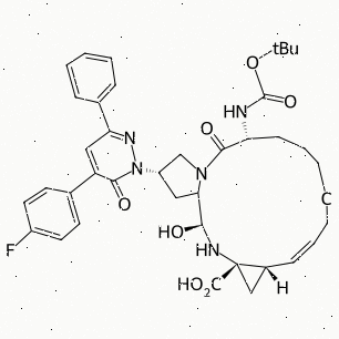 CC(C)(C)OC(=O)N[C@@H]1CCCCC/C=C\[C@@H]2C[C@]2(C(=O)O)N[C@@H](O)C2C[C@H](n3nc(-c4ccccc4)cc(-c4ccc(F)cc4)c3=O)CN2C1=O